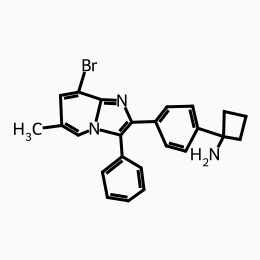 Cc1cc(Br)c2nc(-c3ccc(C4(N)CCC4)cc3)c(-c3ccccc3)n2c1